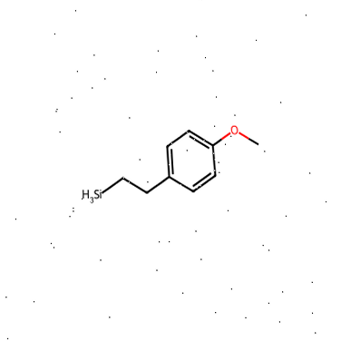 COc1ccc(CC[SiH3])cc1